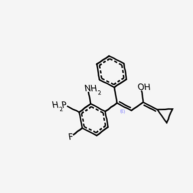 Nc1c(/C(=C/C(O)=C2CC2)c2ccccc2)ccc(F)c1P